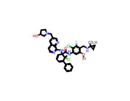 CCOc1cc(NC(=O)C2(Nc3nccc4cc(CN5CCC(O)C5)cnc34)C=CC=C(c3ccccc3)C2(C)Cl)c(Cl)c(F)c1CNC1(C(=O)O)CC1